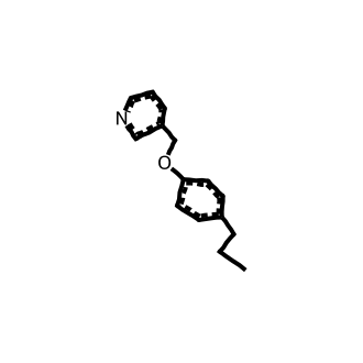 CCCc1ccc(OCc2cccnc2)cc1